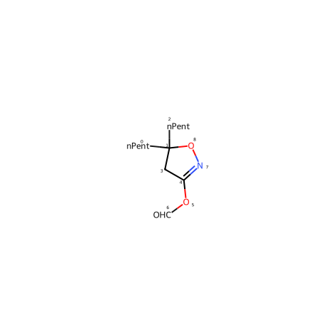 CCCCCC1(CCCCC)CC(OC=O)=NO1